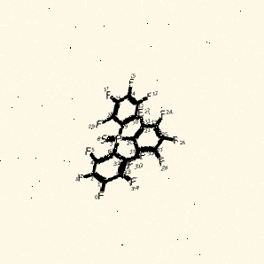 Fc1c(F)c(F)c(P(=S)(c2c(F)c(F)c(F)c(F)c2F)c2c(F)c(F)c(F)c(F)c2F)c(F)c1F